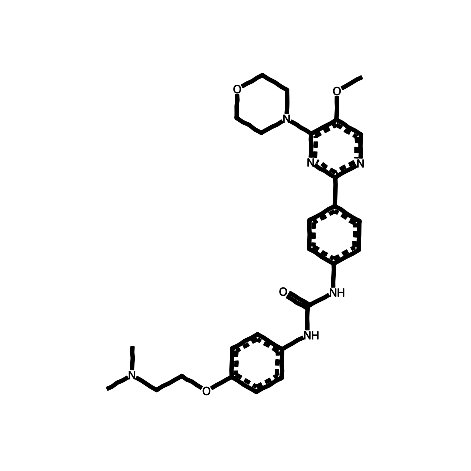 COc1cnc(-c2ccc(NC(=O)Nc3ccc(OCCN(C)C)cc3)cc2)nc1N1CCOCC1